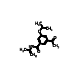 C=C(C)NC(=O)c1cc(OC(C)C)cc(C(C)=O)c1